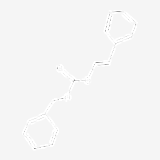 O=C(OC=Cc1ccccc1)OCc1ccccc1